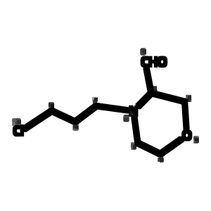 O=CC1COCCN1CCCCl